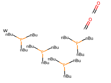 CCCCP(CCCC)CCCC.CCCCP(CCCC)CCCC.CCCCP(CCCC)CCCC.CCCCP(CCCC)CCCC.[C]=O.[C]=O.[W]